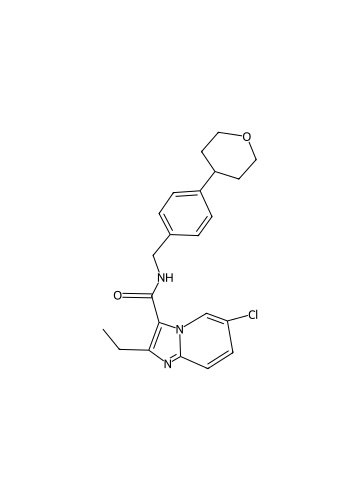 CCc1nc2ccc(Cl)cn2c1C(=O)NCc1ccc(C2CCOCC2)cc1